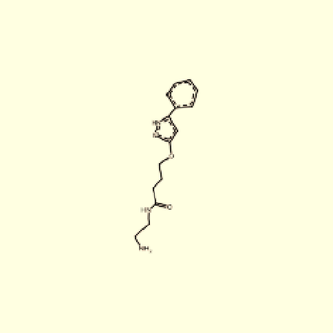 NCCNC(=O)CCCOc1cc(-c2ccccc2)[nH]n1